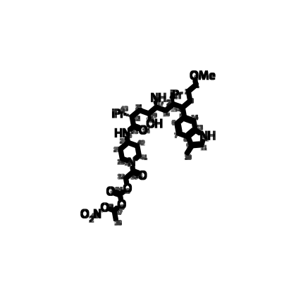 COCCCC(c1ccc2c(C)c[nH]c2c1)[C@@H](C[C@H](N)[C@@H](O)C[C@H](C(=O)NC1CCN(C(=O)COC(=O)OC(C)O[N+](=O)[O-])CC1)C(C)C)C(C)C